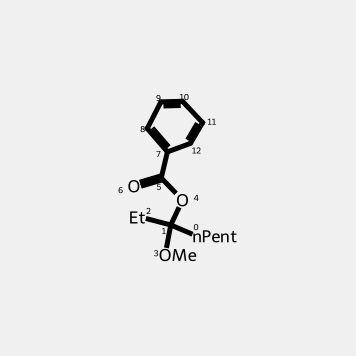 CCCCCC(CC)(OC)OC(=O)c1ccccc1